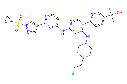 CC(C)(O)c1ccc(-c2cnc(Nc3ccnc(-c4cnn(S(=O)(=O)C5CC5)c4)n3)cc2NC2CCN(CCF)CC2)nc1